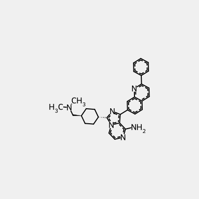 CN(C)C[C@H]1CC[C@H](c2nc(-c3ccc4ccc(-c5ccccc5)nc4c3)c3c(N)nccn32)CC1